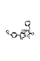 COC(=O)[C@H](Cc1ccccc1)Nc1cc(-c2ccc(C=O)cc2)ncn1